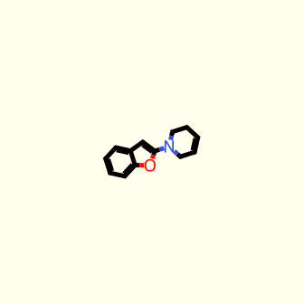 C1=CCN(c2cc3ccccc3o2)CC1